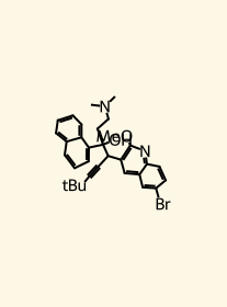 COc1nc2ccc(Br)cc2cc1C(C#CC(C)(C)C)C(O)(CCN(C)C)c1cccc2ccccc12